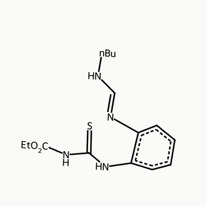 CCCCN/C=N/c1ccccc1NC(=S)NC(=O)OCC